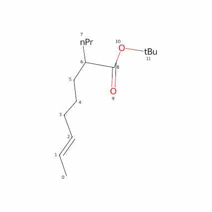 C/C=C/CCCC(CCC)C(=O)OC(C)(C)C